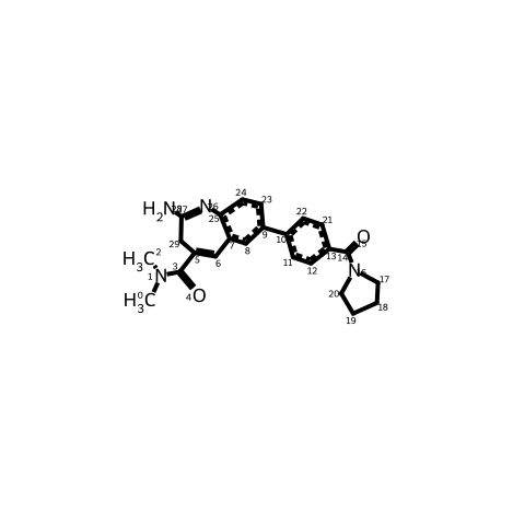 CN(C)C(=O)C1=Cc2cc(-c3ccc(C(=O)N4CCCC4)cc3)ccc2N=C(N)C1